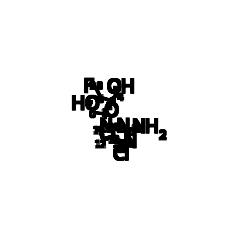 CC(O[C@H](CO)[C@@H](O)CF)n1ccc2c(Cl)nc(N)nc21